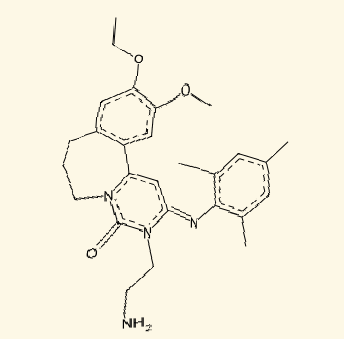 CCOc1cc2c(cc1OC)-c1c/c(=N\c3c(C)cc(C)cc3C)n(CCN)c(=O)n1CCC2